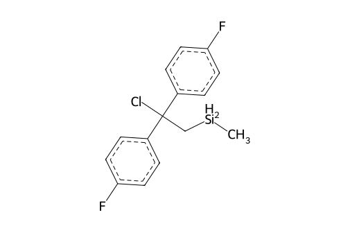 C[SiH2]CC(Cl)(c1ccc(F)cc1)c1ccc(F)cc1